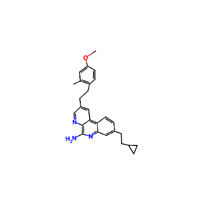 COc1ccc(CCc2cnc3c(N)nc4cc(CCC5CC5)ccc4c3c2)c(C)c1